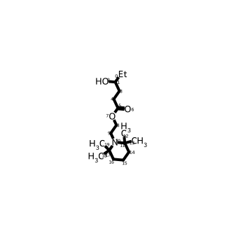 CCC(O)CCC(=O)OCCN1C(C)(C)CCCC1(C)C